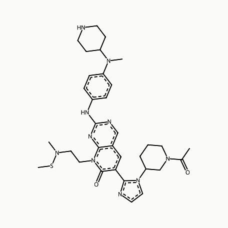 CSN(C)CCn1c(=O)c(-c2nccn2C2CCCN(C(C)=O)C2)cc2cnc(Nc3ccc(N(C)C4CCNCC4)cc3)nc21